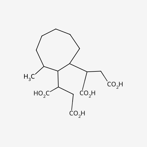 CC1CCCCCC(C(CC(=O)O)C(=O)O)C1C(CC(=O)O)C(=O)O